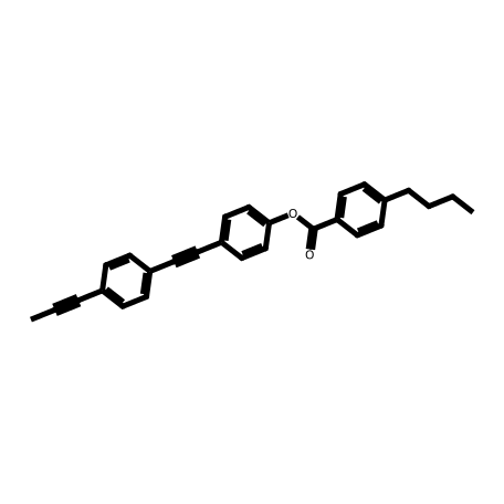 CC#Cc1ccc(C#Cc2ccc(OC(=O)c3ccc(CCCC)cc3)cc2)cc1